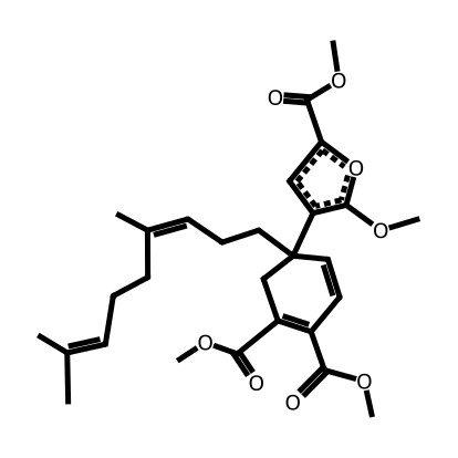 COC(=O)C1=C(C(=O)OC)CC(CCC=C(C)CCC=C(C)C)(c2cc(C(=O)OC)oc2OC)C=C1